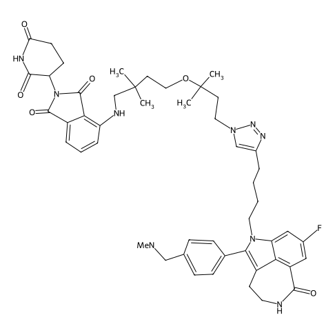 CNCc1ccc(-c2c3c4c(cc(F)cc4n2CCCCc2cn(CCC(C)(C)OCCC(C)(C)CNc4cccc5c4C(=O)N(C4CCC(=O)NC4=O)C5=O)nn2)C(=O)NCC3)cc1